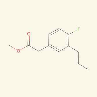 CCCc1cc(CC(=O)OC)ccc1F